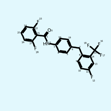 O=C(Nc1ccc(Cc2ccc(F)cc2C(F)(F)F)cc1)c1c(F)cccc1F